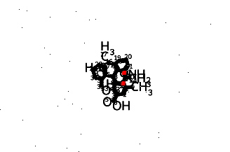 Cc1cc(C(=O)O)c2c(c1C(N)=O)C(c1c(C(C)C)cccc1C(C)C)c1ccccc1CO2